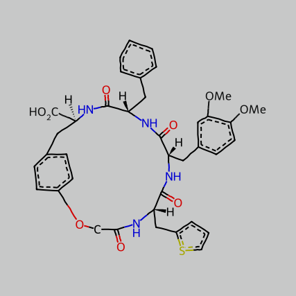 COc1ccc(C[C@@H]2NC(=O)[C@H](Cc3cccs3)NC(=O)COc3ccc(cc3)C[C@@H](C(=O)O)NC(=O)[C@H](Cc3ccccc3)NC2=O)cc1OC